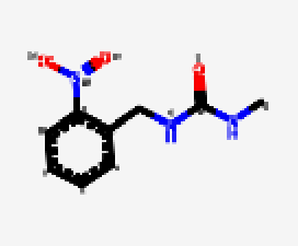 CNC(=O)NCc1ccccc1[N+](=O)[O-]